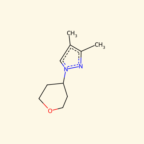 Cc1cn(C2CCOCC2)nc1C